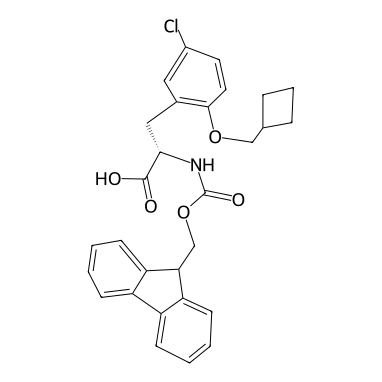 O=C(N[C@@H](Cc1cc(Cl)ccc1OCC1CCC1)C(=O)O)OCC1c2ccccc2-c2ccccc21